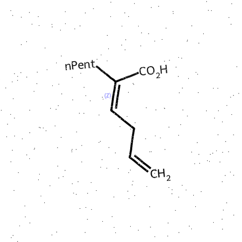 C=CC/C=C(/CCCCC)C(=O)O